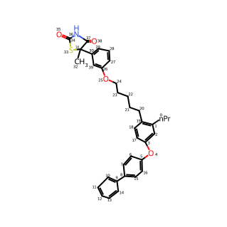 CCCc1cc(Oc2ccc(-c3ccccc3)cc2)ccc1CCCCCOc1cccc(C2(C)SC(=O)NC2=O)c1